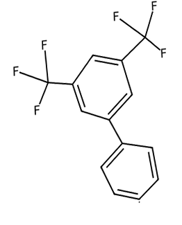 FC(F)(F)c1cc(-c2cc[c]cc2)cc(C(F)(F)F)c1